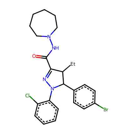 CCC1C(C(=O)NN2CCCCCC2)=NN(c2ccccc2Cl)C1c1ccc(Br)cc1